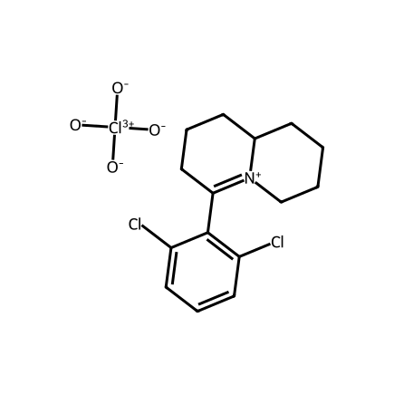 Clc1cccc(Cl)c1C1=[N+]2CCCCC2CCC1.[O-][Cl+3]([O-])([O-])[O-]